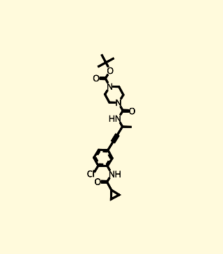 CC(C#Cc1ccc(Cl)c(NC(=O)C2CC2)c1)NC(=O)N1CCN(C(=O)OC(C)(C)C)CC1